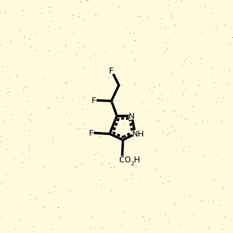 O=C(O)c1[nH]nc(C(F)CF)c1F